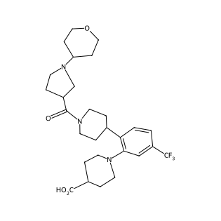 O=C(O)C1CCN(c2cc(C(F)(F)F)ccc2C2CCN(C(=O)C3CCN(C4CCOCC4)C3)CC2)CC1